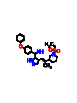 C=CS(=O)(=O)N1CCCC(/C(C)=C/C2C=NNC2C(=N)c2ccc(Oc3ccccc3)cc2)C1